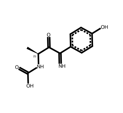 C[C@H](NC(=O)O)C(=O)C(=N)c1ccc(O)cc1